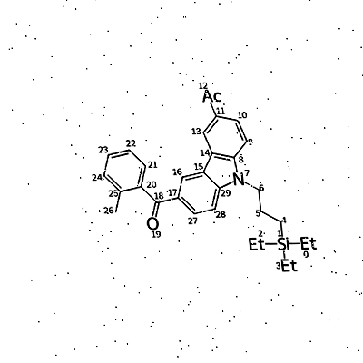 CC[Si](CC)(CC)CCCn1c2ccc(C(C)=O)cc2c2cc(C(=O)c3ccccc3C)ccc21